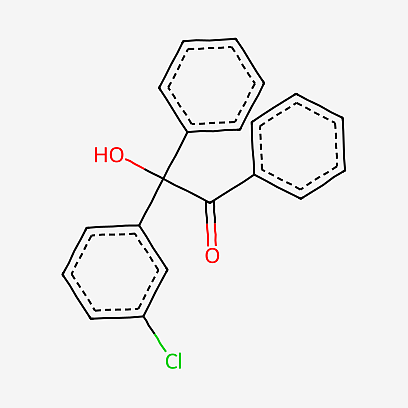 O=C(c1ccccc1)C(O)(c1ccccc1)c1cccc(Cl)c1